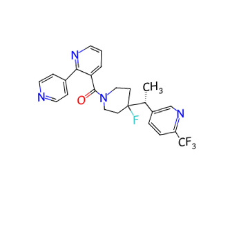 C[C@H](c1ccc(C(F)(F)F)nc1)C1(F)CCN(C(=O)c2cccnc2-c2ccncc2)CC1